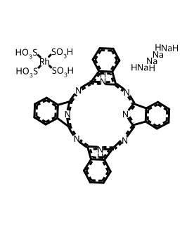 O=[S](=O)(O)[Rh]([S](=O)(=O)O)([S](=O)(=O)O)[S](=O)(=O)O.[NaH].[NaH].[NaH].[NaH].c1ccc2c(c1)-c1nc-2nc2[nH]c(nc3nc(nc4[nH]c(n1)c1ccccc41)-c1ccccc1-3)c1ccccc21